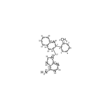 Cc1ccccc1-c1nc2ccccc2cc1Cn1cnc2c(N)ncnc21